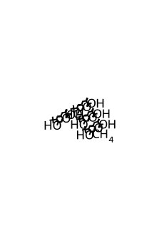 C.C=C(Cc1ccc(O)c(C(C)(C)C)c1)C(=O)O.C=C(Cc1ccc(O)c(C(C)(C)C)c1)C(=O)O.C=C(Cc1ccc(O)c(C(C)(C)C)c1)C(=O)O.C=C(Cc1ccc(O)c(C(C)(C)C)c1)C(=O)O